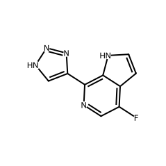 Fc1cnc(-c2c[nH]nn2)c2[nH]ccc12